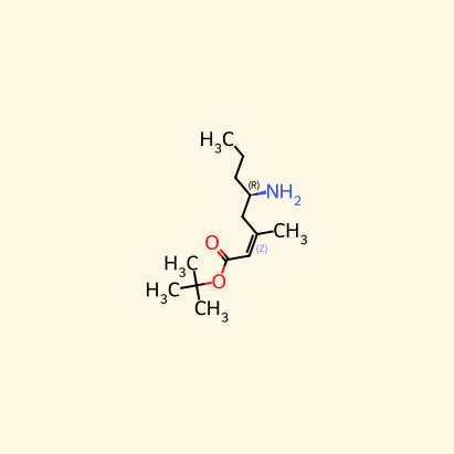 CCC[C@@H](N)C/C(C)=C\C(=O)OC(C)(C)C